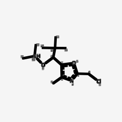 Cc1nc(CCl)oc1C(O[SiH](C)C)C(C)(C)C